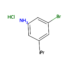 CC(C)c1cccc(Br)c1.Cl.N